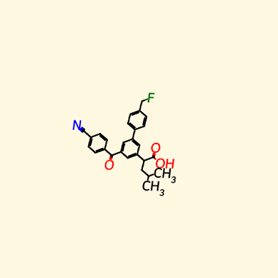 CC(C)CC(C(=O)O)c1cc(C(=O)c2ccc(C#N)cc2)cc(-c2ccc(CF)cc2)c1